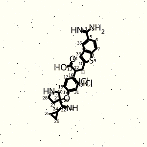 Cl.Cl.N=C(N)c1ccc2sc(CC(C(=O)O)c3ccc(O[C@@]4(C(=N)C5CC5)CCNC4)cc3)cc2c1